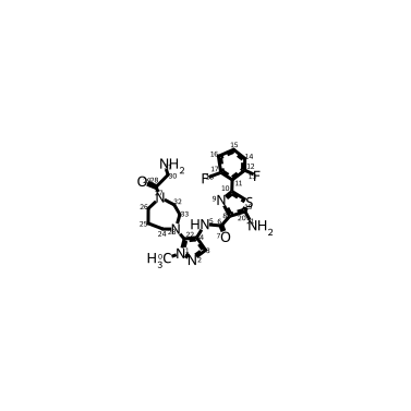 Cn1ncc(NC(=O)c2nc(-c3c(F)cccc3F)sc2N)c1N1CCCN(C(=O)CN)CC1